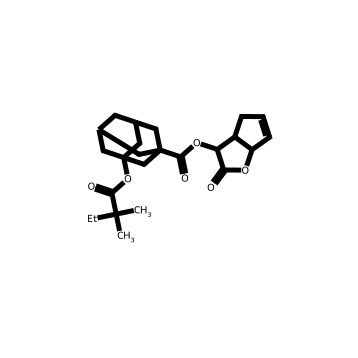 CCC(C)(C)C(=O)OC12CC3CC(C1)CC(C(=O)OC1C(=O)OC4C=CCC41)(C3)C2